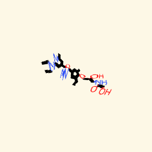 CCc1cc(-c2nnc(-c3cc(C)nc(N(CC)CC)c3)o2)cc(C)c1OC[C@@H](O)CNC(=O)CO